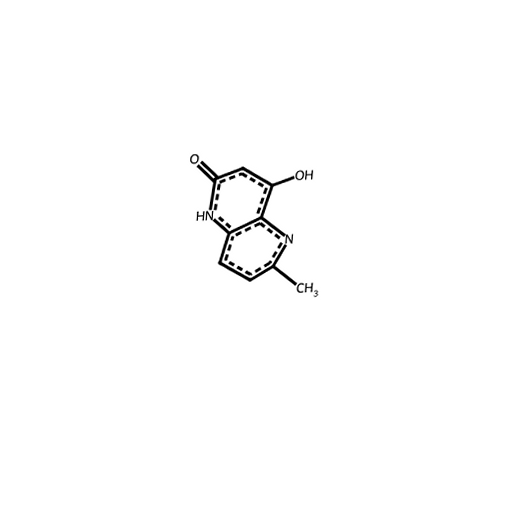 Cc1ccc2[nH]c(=O)cc(O)c2n1